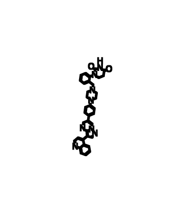 O=C1CCN(c2ccccc2CN2CCN(c3ccc(-c4cnc5c(-c6ccnc7ccccc67)cnn5c4)cc3)CC2)C(=O)N1